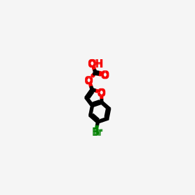 O=C(O)Oc1cc2cc(Br)ccc2o1